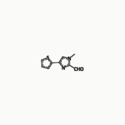 Cn1cc(-c2cccs2)nc1C=O